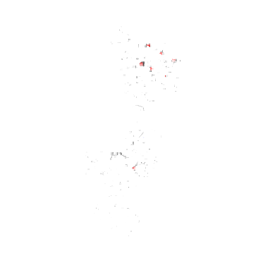 [2H]NC1C(O)C(O)[C@H](CN)O[C@@H]1O[C@@H]1C(O)[C@H](O[C@H]2C(O[C@H]3OC(CN)C(O)[C@H](O)C3N)C(N)C[C@@H](N)C2O)O[C@@H]1Cn1cc(CC/C(C)=C(\C)CCc2cn(C[C@H]3O[C@@H](O[C@H]4C(O[C@H]5OC(CN)C(O)[C@H](O)C5N)C(N)C[C@@H](N)C4O)C(O)[C@H]3O[C@H]3O[C@@H](CN)C(O)C(O)C3N)nn2)nn1